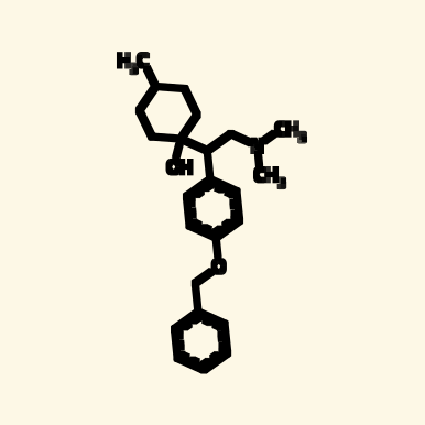 CC1CCC(O)(C(CN(C)C)c2ccc(OCc3ccccc3)cc2)CC1